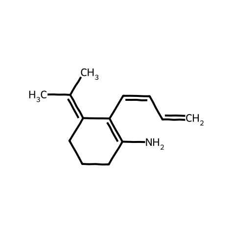 C=C/C=C\C1=C(N)CCCC1=C(C)C